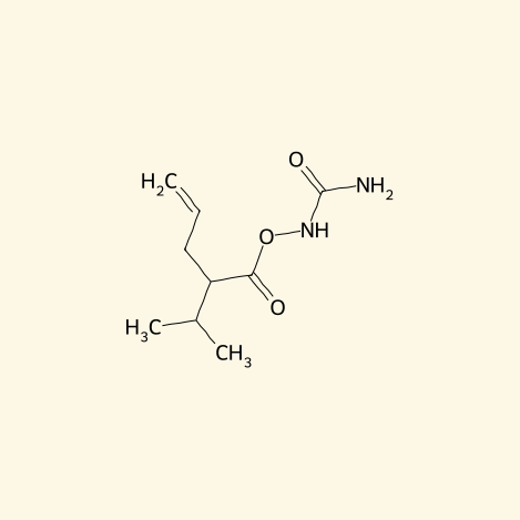 C=CCC(C(=O)ONC(N)=O)C(C)C